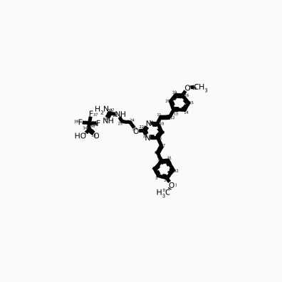 COc1ccc(C=Cc2cc(C=Cc3ccc(OC)cc3)nc(OCCNC(=N)N)n2)cc1.O=C(O)C(F)(F)F